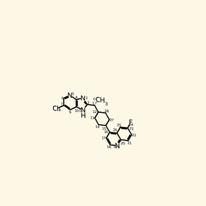 C[C@@H](c1nc2ncc(Cl)cc2[nH]1)C1CCC(c2ccnc3ccc(F)cc23)CC1